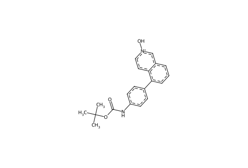 CC(C)(C)OC(=O)Nc1ccc(-c2cccc3c[n+](O)ccc23)cc1